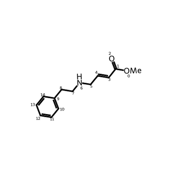 COC(=O)C=CCNCCc1ccccc1